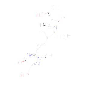 CC(O)[C@H]1C(=O)N2C(C(=O)O)C(CSc3nc(=O)c(O)nn3C)S[C@H]12